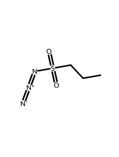 CCCS(=O)(=O)N=[N+]=[N-]